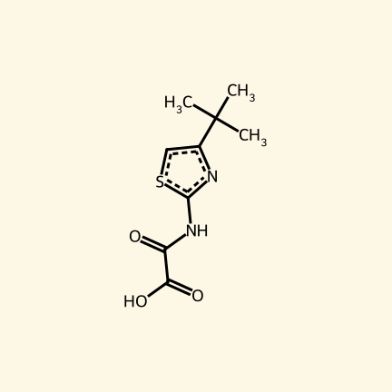 CC(C)(C)c1csc(NC(=O)C(=O)O)n1